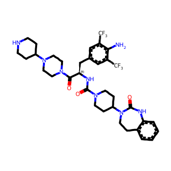 Nc1c(C(F)(F)F)cc(C[C@@H](NC(=O)N2CCC(N3CCc4ccccc4NC3=O)CC2)C(=O)N2CCN(C3CCNCC3)CC2)cc1C(F)(F)F